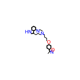 Cc1noc2cc(OCCCCN3CCN4c5cccc6[nH]cc(c56)CC4C3)ccc12